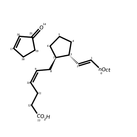 CCCCCCCC/C=C/[C@H]1CCC[C@@H]1C/C=C\CCC(=O)O.O=C1C=CCC1